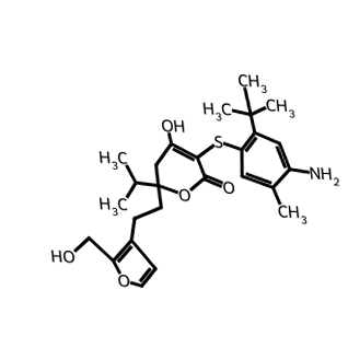 Cc1cc(SC2=C(O)CC(CCc3ccoc3CO)(C(C)C)OC2=O)c(C(C)(C)C)cc1N